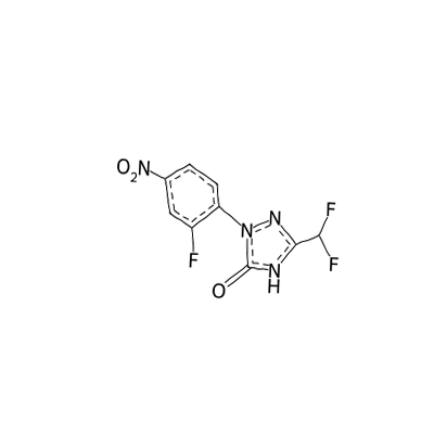 O=c1[nH]c(C(F)F)nn1-c1ccc([N+](=O)[O-])cc1F